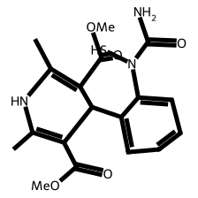 COC(=O)C1=C(C)NC(C)=C(C(=O)OC)C1c1ccccc1N(S)C(N)=O